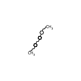 CCCCCc1ccc(CCc2ccc(C3CCC(CCCC)CC3)cc2)cc1